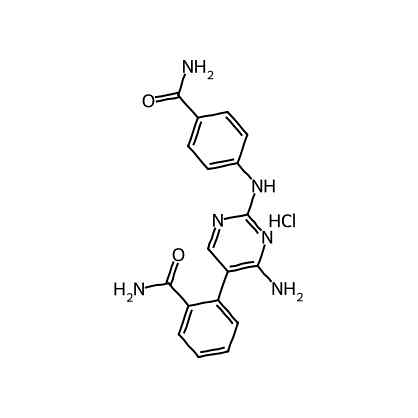 Cl.NC(=O)c1ccc(Nc2ncc(-c3ccccc3C(N)=O)c(N)n2)cc1